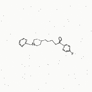 O=C(CCCCC1CCN(Cc2ccccc2)CC1)c1ccc(F)cc1